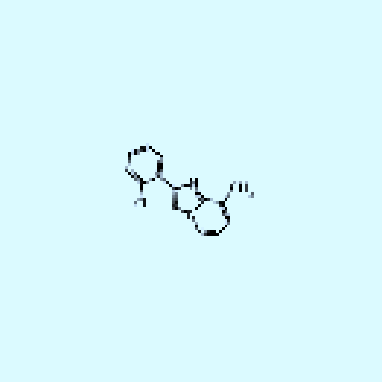 Cc1cccn2cc(-c3ccccc3Cl)nc12